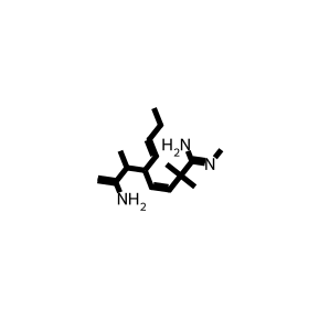 C=C(N)C(C)C(C=CCC)/C=C\C(C)(C)/C(N)=N/C